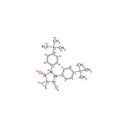 CC(C)(C)c1ccc(N2C(=O)C3(CC3)C(=O)N2c2ccc(C(C)(C)C)cc2)cc1